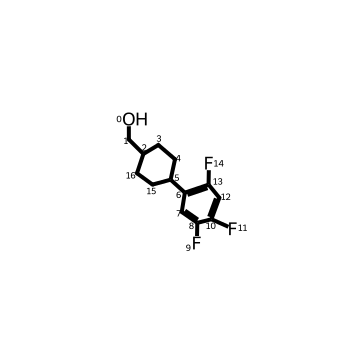 OCC1CCC(c2cc(F)c(F)cc2F)CC1